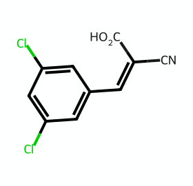 N#C/C(=C/c1cc(Cl)cc(Cl)c1)C(=O)O